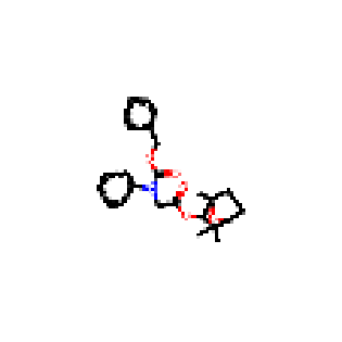 CC12CCC(O1)C(C)(C)C2OC(=O)CN(C(=O)OCc1ccccc1)c1ccccc1